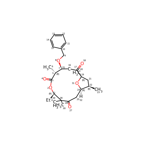 CC[C@H]1OC(=O)[C@H](C)[C@@H](OCc2ccccc2)CC(=O)[C@@]2(C)C[C@@H](C)[C@@H](CC(=O)C1(C)C)O2